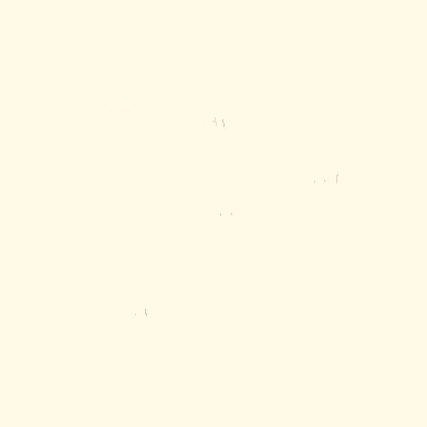 OCC1CC(O)C[C@@]2(CCc3cc(Cl)c(Cc4ccc(O)cc4)cc32)O1